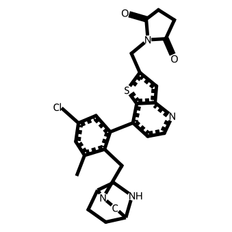 Cc1cc(Cl)cc(-c2ccnc3cc(CN4C(=O)CCC4=O)sc23)c1CN1CC2CCC1CN2